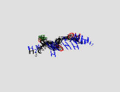 C[C@H](N)CCCc1cc(OC(F)(F)F)c(F)c(-c2cc3cn(-c4ccc(CN[C@H](CO)CCNC(=N)N)cc4)c(=O)nc3[nH]2)c1